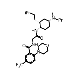 CC(C)CC[C@@H]1C[C@H](N(C)C(C)C)CC[C@@H]1NC(=O)CNC(=O)c1cc(C(F)(F)F)ccc1N1CCOCC1